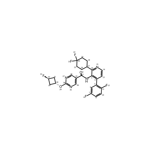 O=C(Nc1c(-c2cc(F)ccc2F)ccnc1C1CCC(F)(F)CC1)c1cnc(O[C@H]2C[C@H](F)C2)nc1